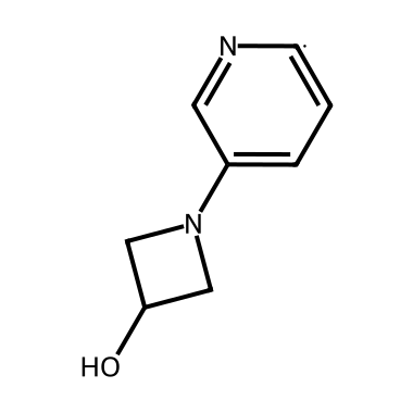 OC1CN(c2cc[c]nc2)C1